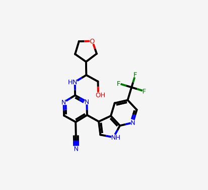 N#Cc1cnc(NC(CO)C2CCOC2)nc1-c1c[nH]c2ncc(C(F)(F)F)cc12